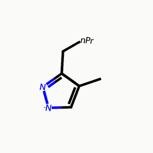 CCCCC1=N[N]C=C1C